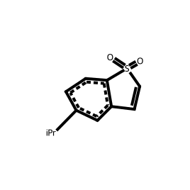 CC(C)c1ccc2c(c1)C=CS2(=O)=O